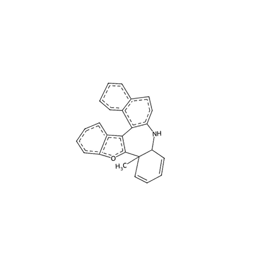 CC12C=CC=CC1Nc1ccc3ccccc3c1-c1c2oc2ccccc12